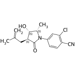 C=C(C)C[C@@H]1C(=O)N(c2ccc(C#N)c(Cl)c2)[C@@H](C)[C@H]1O